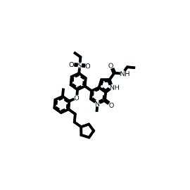 CCNC(=O)c1cc2c(-c3cc(S(=O)(=O)CC)ccc3Oc3c(C)cccc3CCC3CCCC3)cn(C)c(=O)c2[nH]1